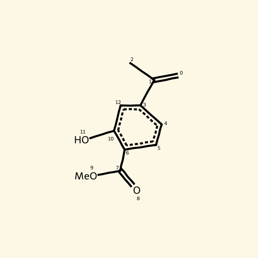 C=C(C)c1ccc(C(=O)OC)c(O)c1